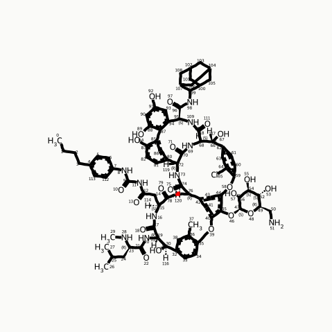 CCCCc1ccc(NC(=O)NC(=O)C[C@@H]2NC(=O)[C@H](NC(=O)[C@@H](CC(C)C)NC)[C@H](O)c3ccc(c(C)c3)Oc3cc4cc(c3O[C@@H]3O[C@H](CN)[C@@H](O)[C@H](O)[C@H]3O)Oc3ccc(cc3Cl)[C@@H](O)[C@@H]3NC(=O)[C@H](NC(=O)[C@@H]4NC2=O)c2ccc(O)c(c2)-c2c(O)cc(O)cc2[C@@H](C(=O)NC2C4CC5CC(C4)CC2C5)NC3=O)cc1